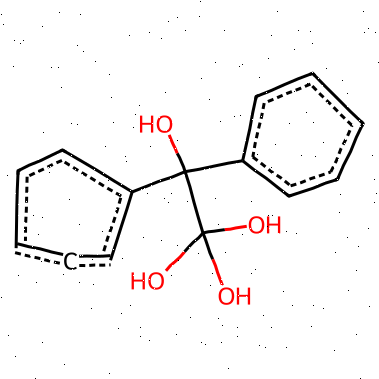 OC(O)(O)C(O)(c1ccccc1)c1ccccc1